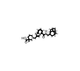 CC1(C(=O)O)CCCN(Cc2cn3c(C(=O)NCC45CC6CC7CC(C4)C7(C6)C5)cccc3n2)C1